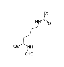 CCC(=O)NCCCCC(NC=O)C(C)(C)C